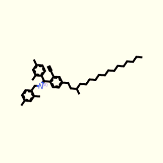 C#Cc1cc(CCC(C)CCCCCCCCCCCCCC)ccc1/C(=N/Cc1ccc(C)cc1C)c1ccc(C)cc1C